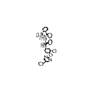 O=C(NC(=O)c1ccccc1[N+](=O)[O-])Nc1ccc(Oc2ncc(Cl)cn2)c(Cl)c1